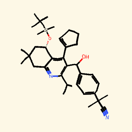 CC(C)c1nc2c(c(C3=CCCC3)c1C(O)c1ccc(C(C)(C)C#N)cc1)[C@@H](O[Si](C)(C)C(C)(C)C)CC(C)(C)C2